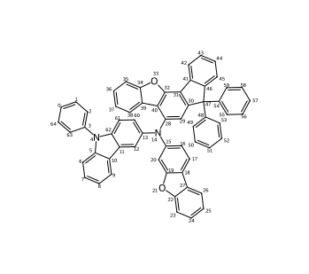 c1ccc(-n2c3ccccc3c3cc(N(c4ccc5c(c4)oc4ccccc45)c4cc5c(c6oc7ccccc7c46)-c4ccccc4C5(c4ccccc4)c4ccccc4)ccc32)cc1